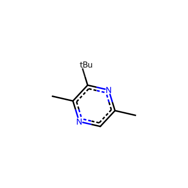 Cc1cnc(C)c(C(C)(C)C)n1